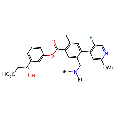 CCN(Cc1cc(C(=O)Oc2cccc([C@H](O)CC(=O)O)c2)c(C)cc1-c1cc(OC)ncc1F)C(C)C